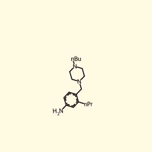 CCCCN1CCN(Cc2ccc(N)cc2CCC)CC1